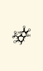 Cc1cc2[nH]c(=O)c(=O)[nH]c2c([N+](=O)[O-])c1Cl